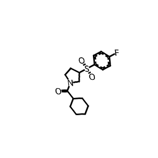 O=C(C1CCCCC1)N1CCC(S(=O)(=O)c2ccc(F)cc2)C1